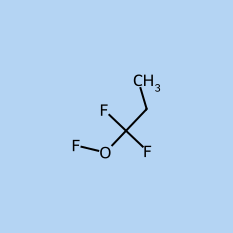 CCC(F)(F)OF